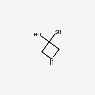 OC1(S)CNC1